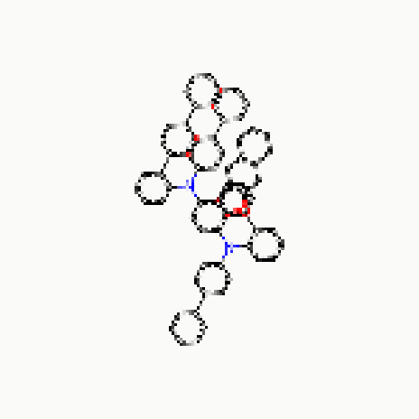 c1ccc(-c2ccc(-c3ccccc3N(c3ccc(-c4ccccc4)cc3)c3ccc(N(c4ccc(-c5ccccc5)cc4)c4ccccc4-c4ccccc4)c4oc5cc6ccccc6cc5c34)cc2)cc1